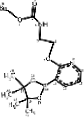 CC(C)(C)OC(=O)NCCOc1ncccc1B1OC(C)(C)C(C)(C)O1